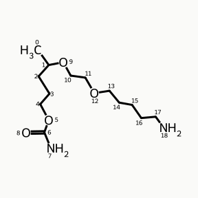 CC(CCCOC(N)=O)OCCOCCCCCN